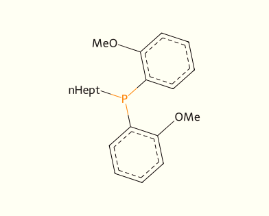 CCCCCCCP(c1ccccc1OC)c1ccccc1OC